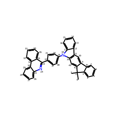 CC1(C)c2ccccc2-c2cc3c4ccccc4n(-c4ccc(-c5nc6ccccc6c6ccccc56)cc4)c3cc21